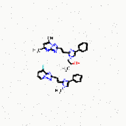 Cc1cc(C)n2nc(C=Cc3nc(-c4ccccc4)cn3C[C@@H](C)O)nc2n1.Cn1cc(-c2ccccc2)nc1C=Cc1nc2c(F)cccn2n1